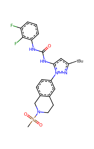 CC(C)(C)c1cc(NC(=O)Nc2cccc(F)c2F)n(-c2ccc3c(c2)CCN(S(C)(=O)=O)C3)n1